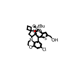 CC(C)(C)S(=O)(=O)N1CC(N2CCOc3cc(Cl)cc(-c4ccnc5cc(CO)sc45)c32)CC12CCC2